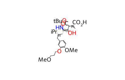 COCCCOc1cc(C[C@@H](C[C@H](NOC(C)(C)C)[C@@H](O)C(=C=O)[C@@H](C)C(=O)O)C(C)C)ccc1OC